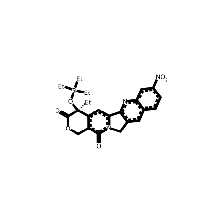 CC[C@@]1(O[Si](CC)(CC)CC)C(=O)OCc2c1cc1n(c2=O)Cc2cc3ccc([N+](=O)[O-])cc3nc2-1